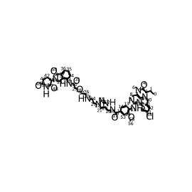 CCC1C(=O)N(C)c2cnc(Nc3ccc(C(=O)NCc4cn(CCNCCOCC(=O)Nc5cccc6c5CN(C5CCC(=O)NC5=O)C6=O)nn4)cc3OC)nc2N1Cc1cc(Cl)cs1